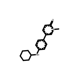 Cn1cc(-c2ccc(NC3CCCCC3)cc2)ccc1=O